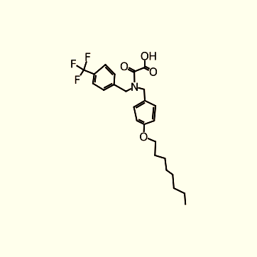 CCCCCCCCOc1ccc(CN(Cc2ccc(C(F)(F)F)cc2)C(=O)C(=O)O)cc1